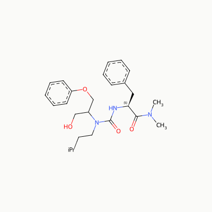 CC(C)CCN(C(=O)N[C@@H](Cc1ccccc1)C(=O)N(C)C)C(CO)COc1ccccc1